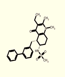 CCc1c(C)n(C)c2c(c1=O)[C@@H](Cc1cccc(-c3ccccc3)c1)[C@@H](NS(C)(=O)=O)CC2